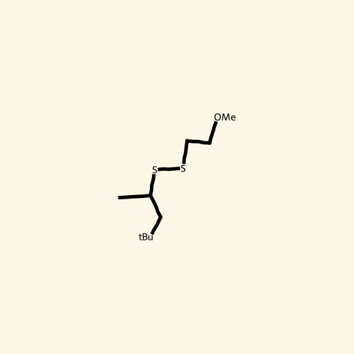 COCCSSC(C)CC(C)(C)C